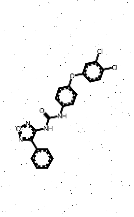 O=C(Nc1ccc(Oc2ccc(Cl)c(Cl)c2)cc1)Nc1nonc1-c1ccccc1